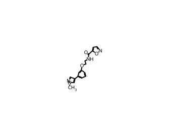 Cn1cc(-c2c[c]cc(OCCNC(=O)c3ccno3)c2)cn1